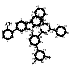 Cc1ccccc1-c1ccc2c3ccccc3n(-c3ccc(-c4cc(F)cc(F)c4)cc3-c3nc(-c4ccccc4)nc(-c4ccccc4)n3)c2c1